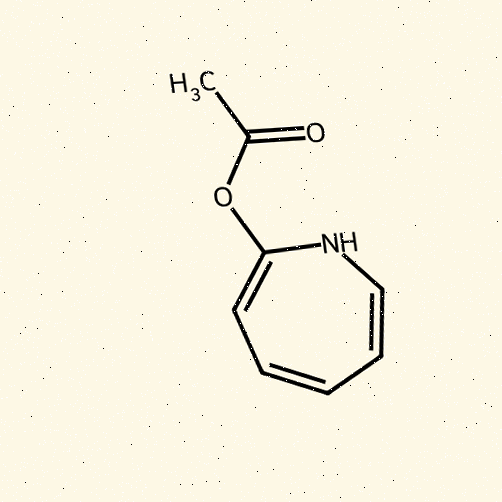 CC(=O)OC1=CC=CC=CN1